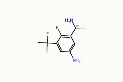 C[C@@H](N)c1cc(N)cc(C(C)(F)F)c1F